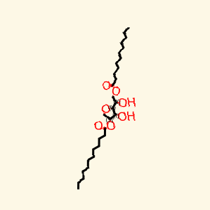 CCCCCCCCCCCC(=O)OC[C@@H](O)[C@H]1OC[C@H](OC(=O)CCCCCCCCCCC)[C@H]1O